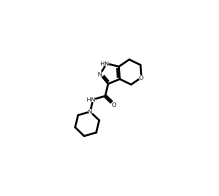 O=C(NN1CCCCC1)c1n[nH]c2c1COCC2